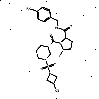 CC[C@@H]1CC[C@H](C(=O)NCc2ccc(C(F)(F)F)nc2)N1C(=O)[C@H]1CCCN(S(=O)(=O)N2CC(C#N)C2)C1